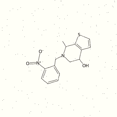 CC1c2sccc2C(O)CN1Cc1ccccc1[N+](=O)[O-]